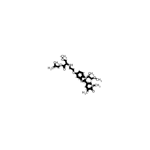 COCC(NCCOc1ccc2c(c1)nc(-c1cc(C)c(=O)n(C)c1)n2[C@@H](C)COC)C(=O)OCC(C)C